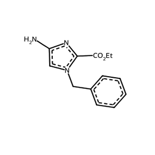 CCOC(=O)c1nc(N)cn1Cc1ccccc1